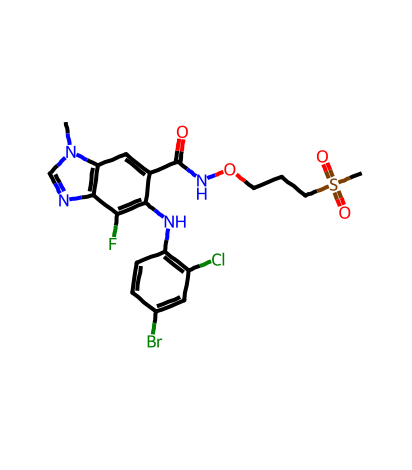 Cn1cnc2c(F)c(Nc3ccc(Br)cc3Cl)c(C(=O)NOCCCS(C)(=O)=O)cc21